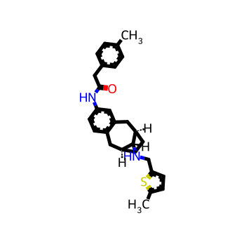 Cc1ccc(CC(=O)Nc2ccc3c(c2)C[C@H]2CC[C@@H](C3)[C@H]2NCc2ccc(C)s2)cc1